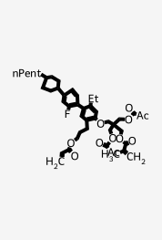 C=CC(=O)OCCCc1cc(-c2ccc(C3CCC(CCCCC)CC3)cc2F)c(CC)cc1OCC(COC(=O)C(=C)C)(COC(=O)C(C)=O)COC(=O)C(C)=O